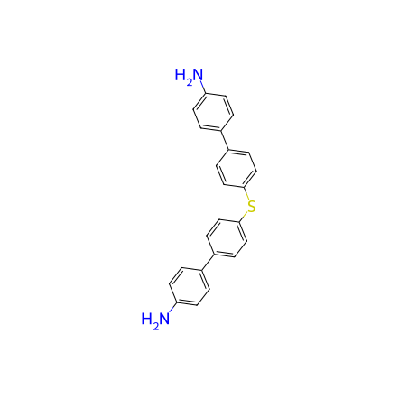 Nc1ccc(-c2ccc(Sc3ccc(-c4ccc(N)cc4)cc3)cc2)cc1